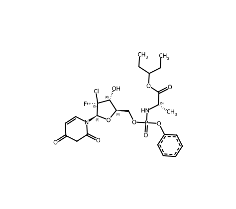 CCC(CC)OC(=O)[C@H](C)NP(=O)(OC[C@H]1O[C@@H](N2C=CC(=O)CC2=O)[C@@](F)(Cl)[C@@H]1O)Oc1ccccc1